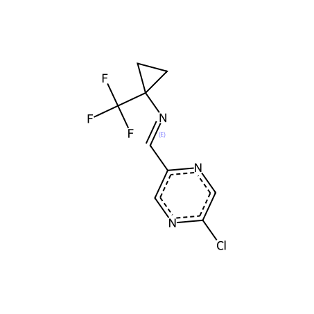 FC(F)(F)C1(/N=C/c2cnc(Cl)cn2)CC1